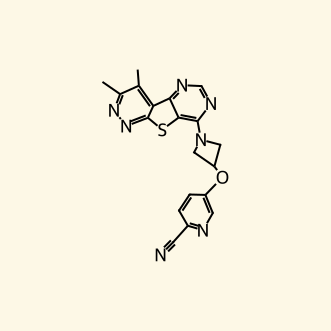 Cc1nnc2sc3c(N4CC(Oc5ccc(C#N)nc5)C4)ncnc3c2c1C